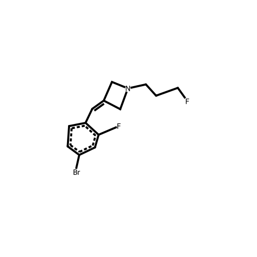 FCCCN1CC(=Cc2ccc(Br)cc2F)C1